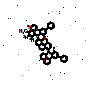 [2H]c1c([2H])c(N(c2c(F)cc(-c3ccccc3)cc2-c2ccccc2)c2ccc3ccc4c(N(c5ccccc5)c5c(F)cc(-c6ccccc6)cc5-c5ccccc5)ccc5ccc2c3c54)c(F)c([2H])c1C